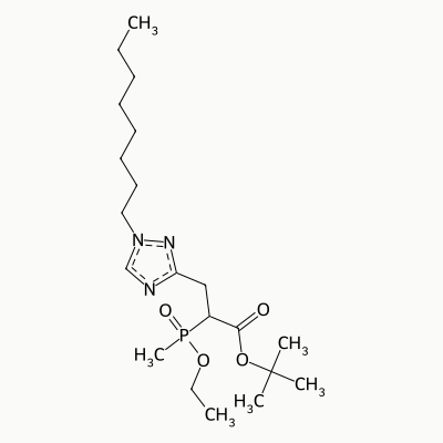 CCCCCCCCn1cnc(CC(C(=O)OC(C)(C)C)P(C)(=O)OCC)n1